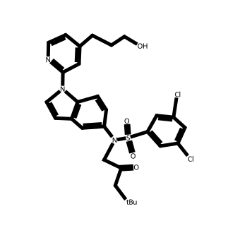 CC(C)(C)CC(=O)CN(c1ccc2c(ccn2-c2cc(CCCO)ccn2)c1)S(=O)(=O)c1cc(Cl)cc(Cl)c1